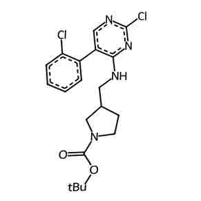 CC(C)(C)OC(=O)N1CCC(CNc2nc(Cl)ncc2-c2ccccc2Cl)C1